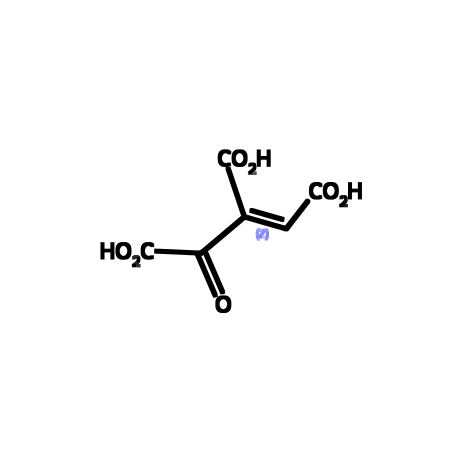 O=C(O)/C=C(\C(=O)O)C(=O)C(=O)O